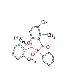 Cc1ccc(C)c(C(=O)P(=O)(C(=O)c2c(C)cccc2C)c2ccccc2)c1C